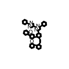 C1=C\c2ccc(-c3cc(-c4ccccc4)nc(-c4cnc(-c5ccccc5)nc4)n3)cc2-c2cc3oc4ccccc4c3cc2Oc2ccccc2-c2ccccc2/1